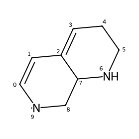 C1=CC2=CCCNC2C[N]1